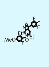 CC[C@H]1Cc2c(nn(C)c2-c2cc(F)c(F)c(F)c2)[C@@H](CC)N1C(=O)c1ccc(OC)cc1F